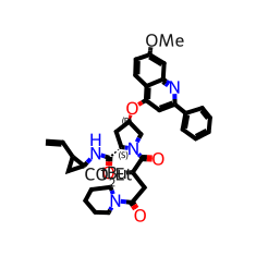 C=CC1CC1(NC(=O)[C@@H]1C[C@@H](Oc2cc(-c3ccccc3)nc3cc(OC)ccc23)CN1C(=O)C(CC(=O)N1CCCCC1)C(C)(C)C)C(=O)OCC